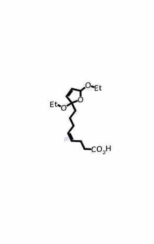 CCOC1C=CC(CCC/C=C\CCC(=O)O)(OCC)O1